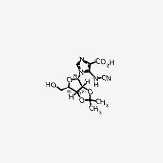 CC1(C)O[C@@H]2[C@H](O1)[C@@H](CO)O[C@H]2n1cnc(C(=O)O)c1NC#N